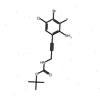 CC(C)(C)OC(=O)NCC#Cc1cc(Cl)c(Br)c(F)c1N